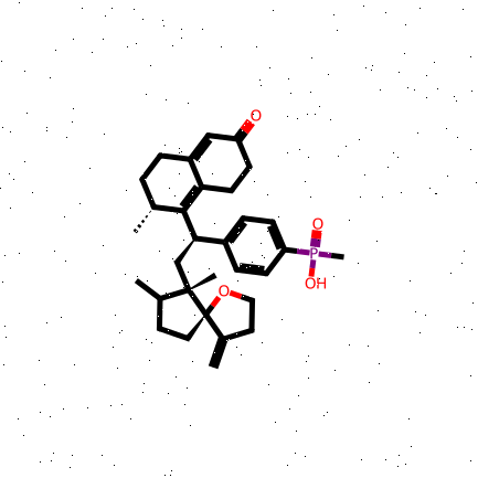 C=C1CCO[C@]12CCC(C)[C@]2(C)C[C@@H](C1=C2CCC(=O)C=C2CC[C@H]1C)c1ccc(P(C)(=O)O)cc1